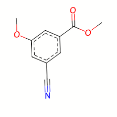 COC(=O)c1cc(C#N)cc(OC)c1